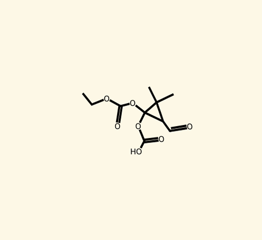 CCOC(=O)OC1(OC(=O)O)C(C=O)C1(C)C